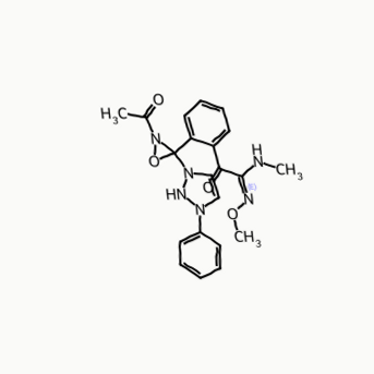 CN/C(=N/OC)C(=O)c1ccccc1C1(N2C=CN(c3ccccc3)N2)ON1C(C)=O